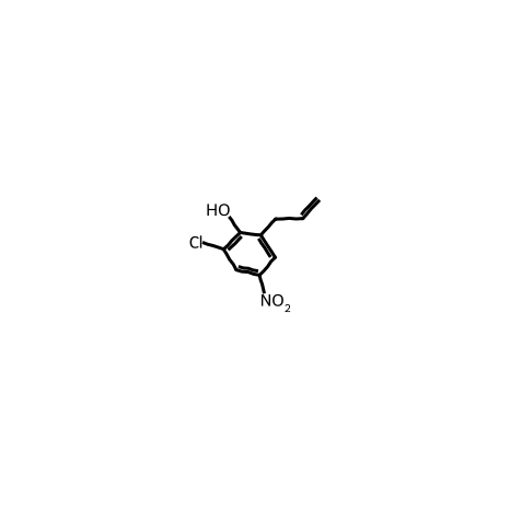 C=CCc1cc([N+](=O)[O-])cc(Cl)c1O